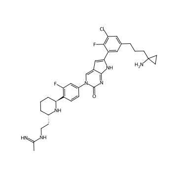 CC(=N)NCC[C@@H]1CCC[C@@H](c2ccc(-n3cc4cc(-c5cc(CCCC6(N)CC6)cc(Cl)c5F)[nH]c4nc3=O)cc2F)N1